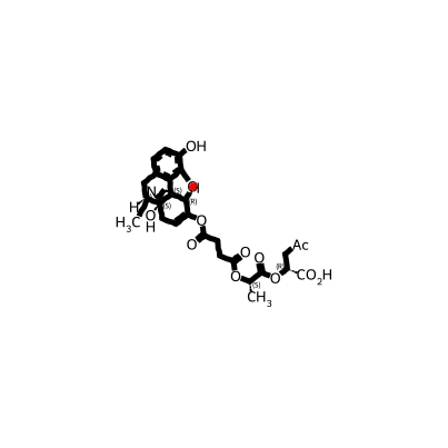 CC(=O)C[C@@H](OC(=O)[C@H](C)OC(=O)CCC(=O)OC1=CC[C@@]2(O)[C@H]3Cc4ccc(O)c5c4[C@@]2(CCN3C)[C@H]1O5)C(=O)O